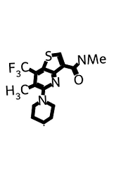 CNC(=O)c1csc2c(C(F)(F)F)c(C)c(N3CC[CH]CC3)nc12